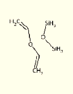 C=COC=C.[SiH3]O[SiH3]